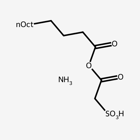 CCCCCCCCCCCC(=O)OC(=O)CS(=O)(=O)O.N